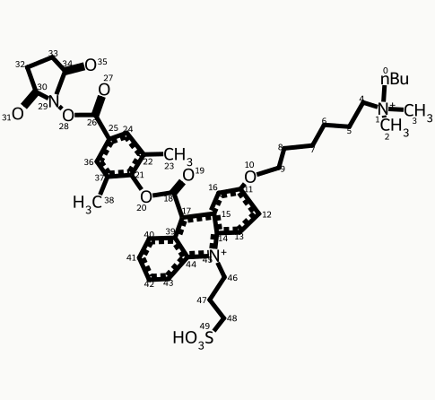 CCCC[N+](C)(C)CCCCCCOc1ccc2c(c1)c(C(=O)Oc1c(C)cc(C(=O)ON3C(=O)CCC3=O)cc1C)c1ccccc1[n+]2CCCS(=O)(=O)O